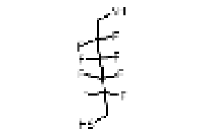 FC(F)(CS)C(F)(F)C(F)(F)C(F)(F)CS